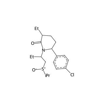 CCC1CCC(c2ccc(Cl)cc2)N(C(CC)C[S+]([O-])C(C)C)C1=O